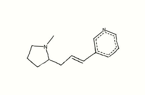 CN1CCCC1CC=Cc1cccnc1